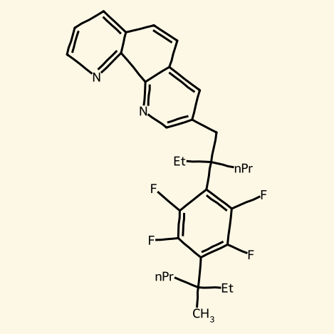 CCCC(C)(CC)c1c(F)c(F)c(C(CC)(CCC)Cc2cnc3c(ccc4cccnc43)c2)c(F)c1F